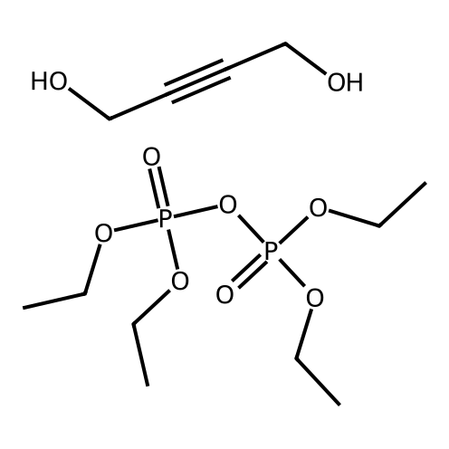 CCOP(=O)(OCC)OP(=O)(OCC)OCC.OCC#CCO